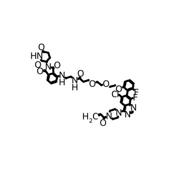 C=CC(=O)N1CCN(c2ncnc3c(F)c(-c4c(F)cccc4OCCOCCOCCC(=O)NCCNc4cccc5c4C(=O)N(C4CCC(=O)NC4=O)C5=O)c(Cl)cc23)CC1